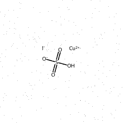 O=S(=O)([O-])O.[Cu+2].[I-]